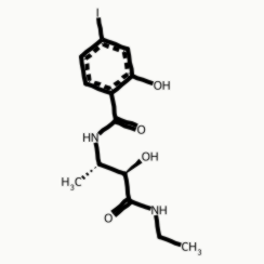 CCNC(=O)[C@H](O)[C@H](C)NC(=O)c1ccc(I)cc1O